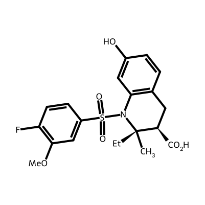 CC[C@]1(C)[C@H](C(=O)O)Cc2ccc(O)cc2N1S(=O)(=O)c1ccc(F)c(OC)c1